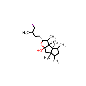 CC1CC(C)[C@]2(C)[C@H]3[C@H](C)[C@@H](CC[C@@H](C)CI)O[C@@]3(O)C[C@@]12C